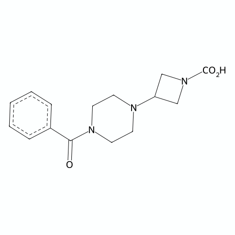 O=C(O)N1CC(N2CCN(C(=O)c3ccccc3)CC2)C1